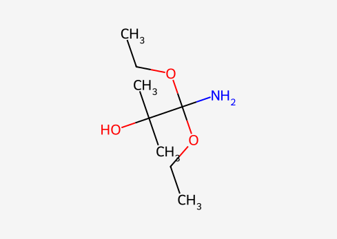 CCOC(N)(OCC)C(C)(C)O